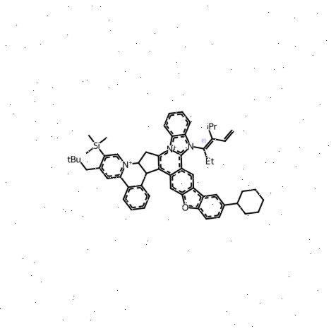 C=C/C(=C(\CC)n1c2ccccc2[n+]2c3c(c4cc5oc6ccc(C7CCCCC7)cc6c5cc4c12)C1c2ccccc2-c2cc(CC(C)(C)C)c([Si](C)(C)C)c[n+]2C1C3)C(C)C